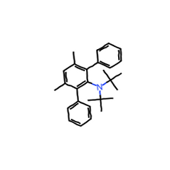 Cc1cc(C)c(-c2ccccc2)c(N(C(C)(C)C)C(C)(C)C)c1-c1ccccc1